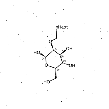 CCCCCCCCO[C@H]1[C@@H](O)[C@H](O)[C@@H](CO)O[C@H]1O